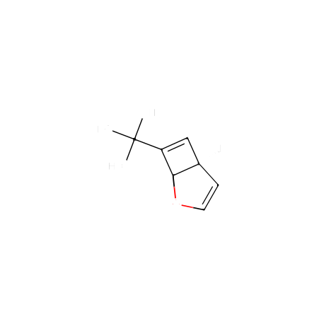 CC(C)(C)C1=C[C@H]2C=COC12